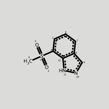 CS(=O)(=O)c1cccc2cn[nH]c12